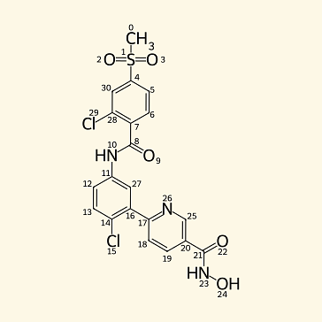 CS(=O)(=O)c1ccc(C(=O)Nc2ccc(Cl)c(-c3ccc(C(=O)NO)cn3)c2)c(Cl)c1